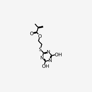 C=C(C)C(=O)OCCSc1nc(O)nc(O)n1